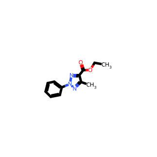 CCOC(=O)c1nn(-c2ccccc2)nc1C